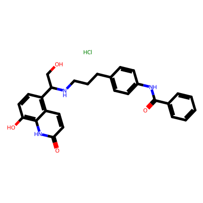 Cl.O=C(Nc1ccc(CCCNC(CO)c2ccc(O)c3[nH]c(=O)ccc23)cc1)c1ccccc1